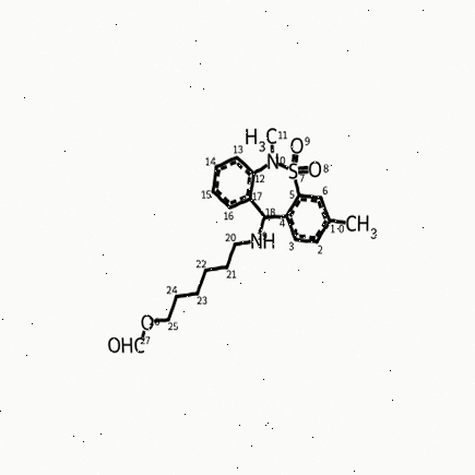 Cc1ccc2c(c1)S(=O)(=O)N(C)c1ccccc1C2NCCCCCCOC=O